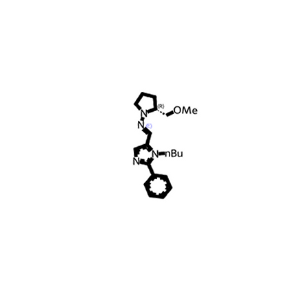 CCCCn1c(/C=N/N2CCC[C@@H]2COC)cnc1-c1ccccc1